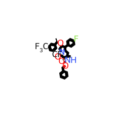 C[C@@H](OC1CN2C(=O)CC(C)(NC(=O)OCc3ccccc3)CC2C1c1ccc(F)cc1)c1cc(C(F)(F)F)cc(C(F)(F)F)c1